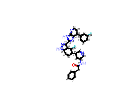 O=C(Cc1ccccc1)Nc1cncc(-c2ccc3[nH]nc(-c4nc5c(-c6cccc(F)c6)ccnc5[nH]4)c3c2F)c1